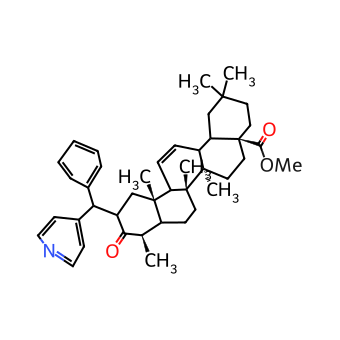 COC(=O)[C@]12CCC(C)(C)CC1C1C=CC3[C@@]4(C)CC(C(c5ccccc5)c5ccncc5)C(=O)[C@H](C)C4CC[C@@]3(C)[C@]1(C)CC2